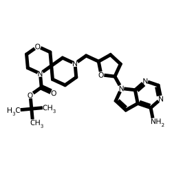 CC(C)(C)OC(=O)N1CCOCC12CCCN(CC1CCC(n3ccc4c(N)ncnc43)O1)C2